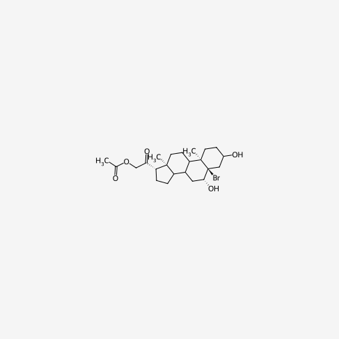 CC(=O)OCC(=O)[C@H]1CCC2C3C[C@@H](O)[C@@]4(Br)CC(O)CC[C@]4(C)C3CC[C@@]21C